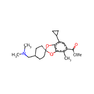 COC(=O)c1cc(C2CC2)c2c(c1C)OC1(CCC(CN(C)C)CC1)O2